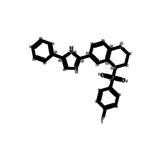 O=S(=O)(c1ccc(F)cc1)N1CCSc2ccc(-c3ncc(-c4ccccc4)[nH]3)cc21